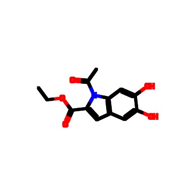 CCOC(=O)c1cc2cc(O)c(O)cc2n1C(C)=O